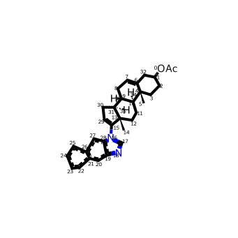 CC(=O)OC1CC[C@@]2(C)C(=CC[C@@H]3[C@@H]2CC[C@]2(C)C(n4cnc5cc6ccccc6cc54)=CC[C@@H]32)C1